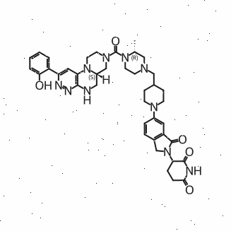 C[C@@H]1CN(CC2CCN(c3ccc4c(c3)C(=O)N(C3CCC(=O)NC3=O)C4)CC2)CCN1C(=O)N1CCN2c3cc(-c4ccccc4O)nnc3NC[C@H]2C1